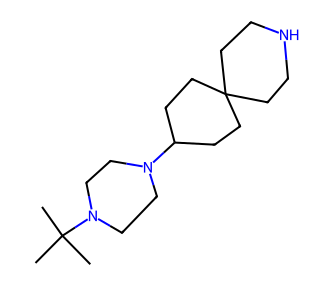 CC(C)(C)N1CCN(C2CCC3(CCNCC3)CC2)CC1